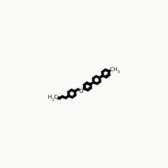 C=CCCC1CCC(COc2ccc(C3CCC(C4C=CC(C)CC4)CC3)cc2)CC1